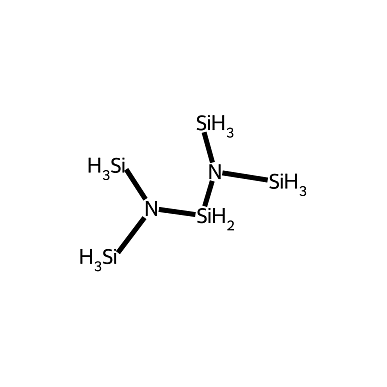 [SiH3]N([SiH3])[SiH2]N([SiH3])[SiH3]